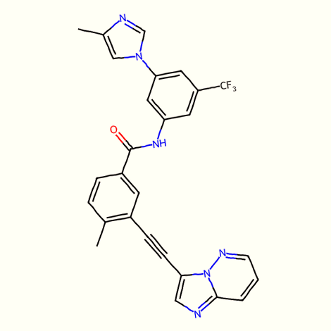 Cc1cn(-c2cc(NC(=O)c3ccc(C)c(C#Cc4cnc5cccnn45)c3)cc(C(F)(F)F)c2)cn1